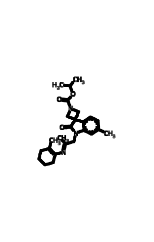 CC1=C(/N=C(\C)CN2C(=O)C3(CN(C(=O)OC(C)C)C3)c3ccc(C)cc32)CCCC1